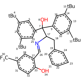 CC(C)(C)c1cc(C(C)(C)C)cc(C(O)(c2cc(C(C)(C)C)cc(C(C)(C)C)c2)C(Cc2ccccc2)N=Cc2cc(C(F)(F)F)ccc2O)c1